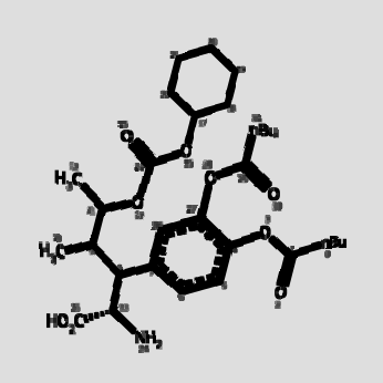 CCCCC(=O)Oc1ccc(C(C(C)C(C)OC(=O)OC2CCCCC2)[C@H](N)C(=O)O)cc1OC(=O)CCCC